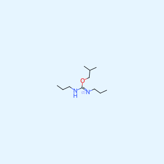 CCC/N=C(/NCCC)OCC(C)C